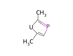 C[C]1=CP=[C](C)[U]1